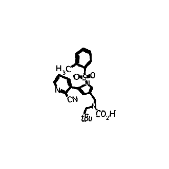 Cc1ccccc1S(=O)(=O)n1cc(CN(CC(C)(C)C)C(=O)O)cc1-c1cccnc1C#N